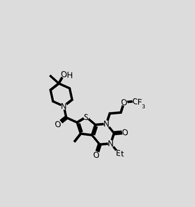 CCn1c(=O)c2c(C)c(C(=O)N3CCC(C)(O)CC3)sc2n(CCOC(F)(F)F)c1=O